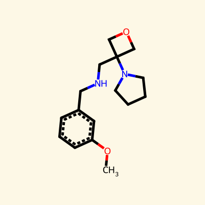 COc1cccc(CNCC2(N3CCCC3)COC2)c1